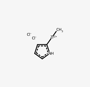 [CH3][Zr+2][c]1ccc[nH]1.[Cl-].[Cl-]